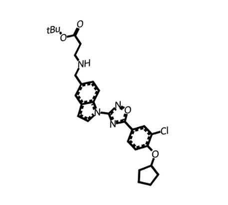 CC(C)(C)OC(=O)CCNCc1ccc2c(ccn2-c2noc(-c3ccc(OC4CCCC4)c(Cl)c3)n2)c1